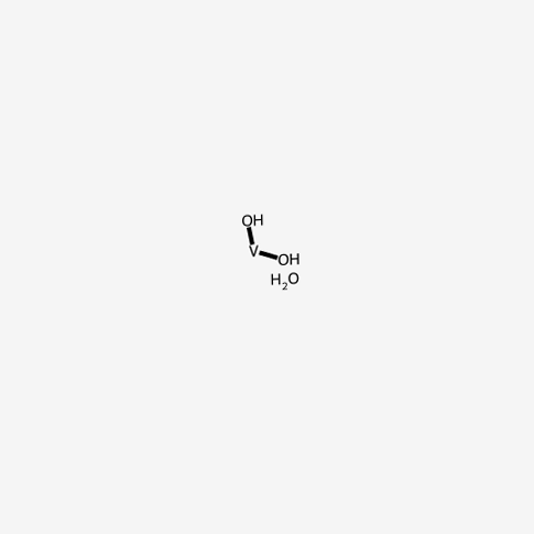 O.[OH][V][OH]